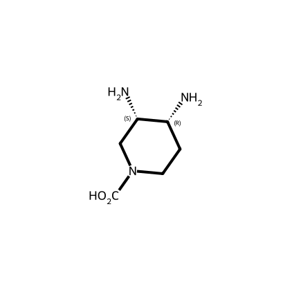 N[C@@H]1CCN(C(=O)O)C[C@@H]1N